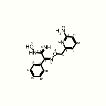 N=C(NO)C(=NOCc1cccc(N)n1)c1ccccc1